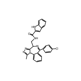 Cc1nnc2n1-c1ccccc1C(c1ccc(Cl)cc1)=NC2CNC(=O)c1cc2ccccc2[nH]1